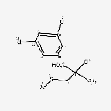 CC(=O)SCC(C)(Cl)C(=O)O.Clc1cccc(Cl)c1